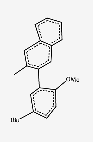 COc1ccc(C(C)(C)C)cc1-c1cc2ccccc2cc1C